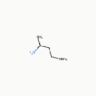 CNCCC(C)N